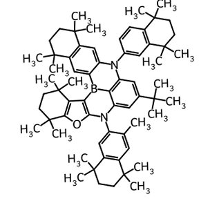 Cc1cc2c(cc1N1c3cc(C(C)(C)C)cc4c3B(c3cc5c(cc3N4c3ccc4c(c3)C(C)(C)CCC4(C)C)C(C)(C)CCC5(C)C)c3c1oc1c3C(C)(C)CCC1(C)C)C(C)(C)CCC2(C)C